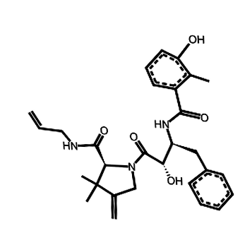 C=CCNC(=O)[C@H]1N(C(=O)[C@@H](O)[C@H](Cc2ccccc2)NC(=O)c2cccc(O)c2C)CC(=C)C1(C)C